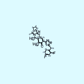 C[C@H]1C2CCCN2[C@@H]2Cn3cc(-c4nnc(Cc5ccc(F)cc5F)s4)c(=O)c(O)c3C(O)N12